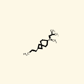 CCC[C@H]1CC2(CC[C@H](N(C)CC(C)C)CC2)C1